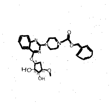 CO[C@@H]1C[C@H](Oc2nc(N3CCN(C(=O)OCc4ccccc4)CC3)nc3ccccc23)[C@@H](O)[C@H]1O